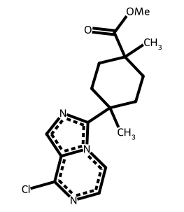 COC(=O)C1(C)CCC(C)(c2ncc3c(Cl)nccn23)CC1